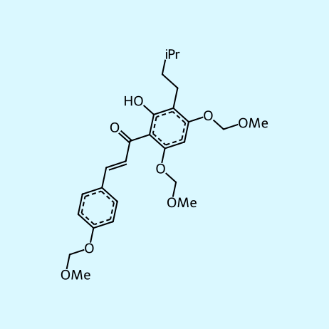 COCOc1ccc(C=CC(=O)c2c(OCOC)cc(OCOC)c(CCC(C)C)c2O)cc1